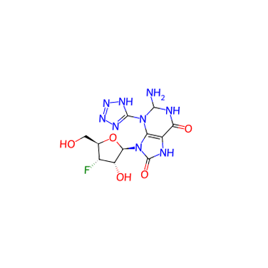 NC1NC(=O)c2[nH]c(=O)n([C@@H]3O[C@H](CO)[C@@H](F)[C@H]3O)c2N1c1nnn[nH]1